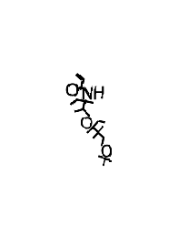 C=CC(=O)NC(C)(CC)C(C)COC(C)(CC)C(C)(C)CCOC(C)(C)C